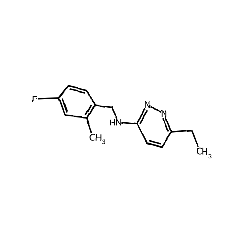 CCc1ccc(NCc2ccc(F)cc2C)nn1